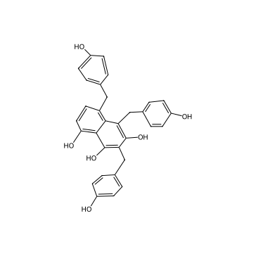 Oc1ccc(Cc2c(O)c(Cc3ccc(O)cc3)c3c(Cc4ccc(O)cc4)ccc(O)c3c2O)cc1